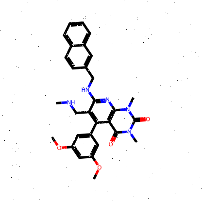 CNCc1c(NCc2ccc3ccccc3c2)nc2c(c1-c1cc(OC)cc(OC)c1)c(=O)n(C)c(=O)n2C